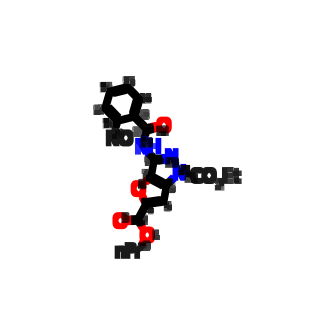 CCCOC(=O)c1cc2c(o1)c(NC(=O)c1ccccc1N=O)nn2C(=O)OCC